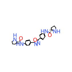 O=C(Nc1ccc(-c2nnc(-c3ccc(NC(=O)[C@@H]4CCCN4)cc3)o2)cc1)[C@@H]1CCCN1